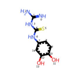 N=C(N)NC(=S)Nc1ccc(O)c(O)c1